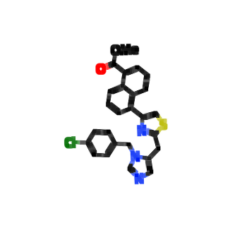 COC(=O)c1cccc2c(-c3csc(Cc4cncn4Cc4ccc(Cl)cc4)n3)cccc12